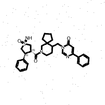 N=S1(=O)C[C@H](C(=O)N2CCC(Cn3cnc(-c4ccccc4)cc3=O)C3(CCCC3)C2)[C@@H](c2ccccc2)C1